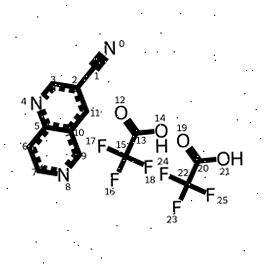 N#Cc1cnc2ccncc2c1.O=C(O)C(F)(F)F.O=C(O)C(F)(F)F